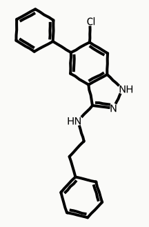 Clc1cc2[nH]nc(NCCc3ccccc3)c2cc1-c1ccccc1